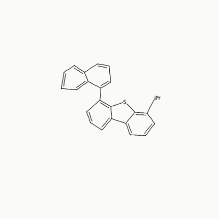 CC(C)c1cccc2c1sc1c(-c3cccc4ccccc34)cccc12